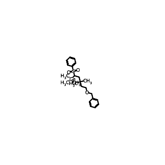 CC(C)(CCOCc1ccccc1)C[CH](S(=O)(=O)c1ccccc1)[Ge]([CH3])([CH3])[CH3]